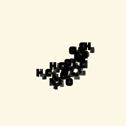 CCn1nccc1OC(=O)c1ccc(Cl)c(Cn2nnn(C)c2=O)c1S(C)(=O)=O